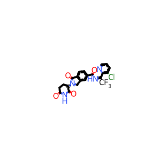 O=C1CC[C@@H](N2Cc3cc(C(=O)N[C@H](c4ncccc4Cl)C(F)(F)F)ccc3C2=O)C(=O)N1